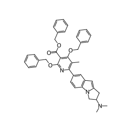 Cc1c(-c2ccc3c(c2)cc2n3CC(N(C)C)C2)nc(OCc2ccccc2)c(C(=O)OCc2ccccc2)c1OCc1ccccc1